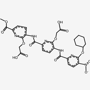 COC(=O)c1ccc(NC(=O)c2ccc(NC(=O)c3ccc([N+](=O)[O-])c(OC4CCCCC4)n3)c(OCC(=O)O)n2)c(OCC(=O)O)n1